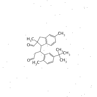 Cc1ccc2c(c1)CC(C)(C=O)C2C(CC=O)c1cc(C(C)(C)C)ccc1C